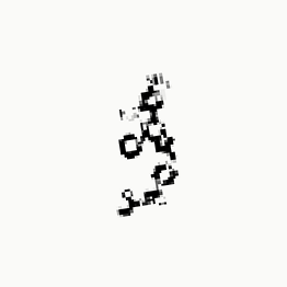 C=CC(=O)NCC(=O)N1CCN(Cc2cc3c(N4CCCCC4)nc(-c4cnc(N)cc4C(F)(F)F)nn3c2)CC1